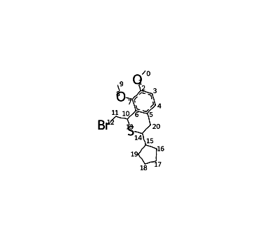 COc1ccc2c(c1OC)C(CBr)SC(C1CCCC1)C2